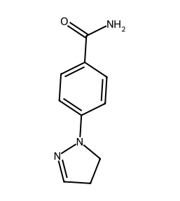 NC(=O)c1ccc(N2CCC=N2)cc1